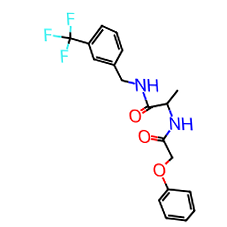 CC(NC(=O)COc1ccccc1)C(=O)NCc1cccc(C(F)(F)F)c1